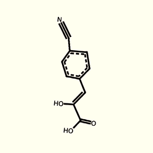 N#Cc1ccc(C=C(O)C(=O)O)cc1